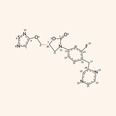 O=C1O[C@@H](COc2cnsn2)CN1c1ccc(Cc2cnccn2)c(F)c1